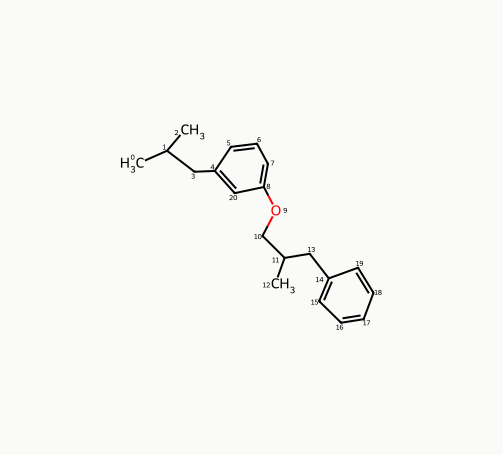 CC(C)Cc1cccc(OCC(C)Cc2ccccc2)c1